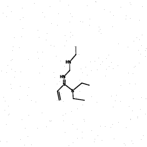 C=C[SiH](NCNCC)N(CC)CC